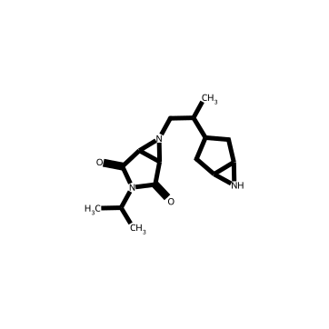 CC(CN1C2C(=O)N(C(C)C)C(=O)C21)C1CC2NC2C1